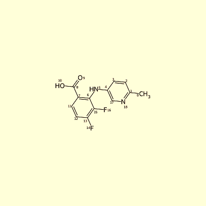 Cc1ccc(Nc2c(C(=O)O)ccc(F)c2F)cn1